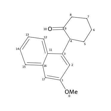 COc1cc(C2CCCCC2=O)c2ccccc2c1